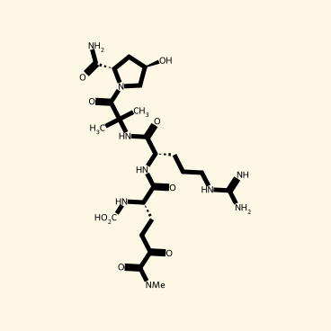 CNC(=O)C(=O)CC[C@H](NC(=O)O)C(=O)N[C@@H](CCCNC(=N)N)C(=O)NC(C)(C)C(=O)N1C[C@H](O)C[C@H]1C(N)=O